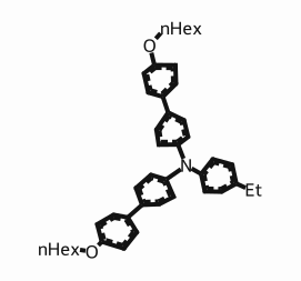 CCCCCCOc1ccc(-c2ccc(N(c3ccc(CC)cc3)c3ccc(-c4ccc(OCCCCCC)cc4)cc3)cc2)cc1